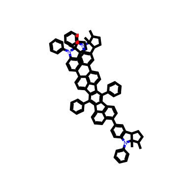 CC1CCC2c3cc(-c4ccc5c6c(-c7ccccc7)c7c8ccc(-c9ccc%10c(c9)C9CCC(C)C9(C)N%10c9ccccc9)c9c(-c%10ccc%11c(c%10)C%10CCC(C)C%10(C)N%11c%10ccccc%10)ccc(c7c(-c7ccccc7)c6c6cccc4c65)c98)ccc3N(c3ccccc3)C12C